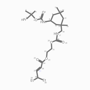 CCCC(C)(C)OC(=O)NC1CC(C)(C)CC(C)(CNC(=O)OCCOC(=O)/C=C/C(CC)CC)C1